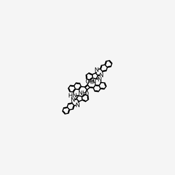 O=C1C(c2ccc3cccc4c3c2NC2(N4)c3ccccc3-c3nc4cc5ccccc5cc4nc32)=C(O)/C1=c1/ccc2cccc3c2c1NC1(N=3)c2ccccc2-c2nc3cc4ccccc4cc3nc21